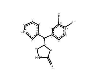 O=C1CC(C(c2cccnc2)c2ccc(F)c(F)c2)CN1